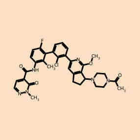 COc1nc(-c2cccc(-c3c(F)ccc(NC(=O)c4ccnn(C)c4=O)c3C)c2Cl)cc2c1C(N1CCN(C(C)=O)CC1)CC2